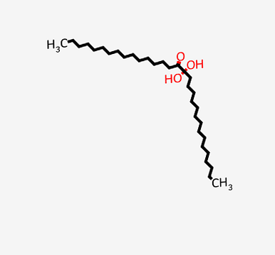 CCCCCCCCCCCCCCCC(=O)C(O)(O)CCCCCCCCCCCCCCC